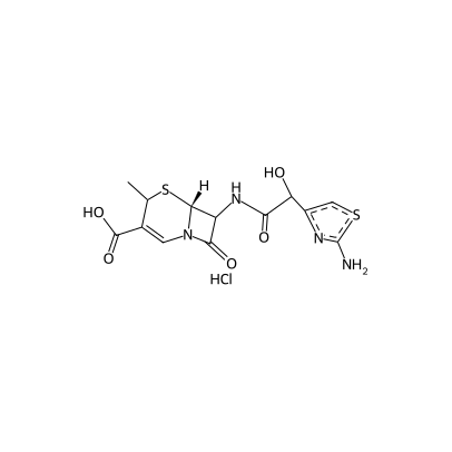 CC1S[C@@H]2C(NC(=O)C(O)c3csc(N)n3)C(=O)N2C=C1C(=O)O.Cl